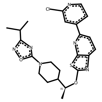 CC(C)c1noc(N2CCC([C@H](C)Oc3nc4ccc(-c5ccnc(Cl)c5)nc4s3)CC2)n1